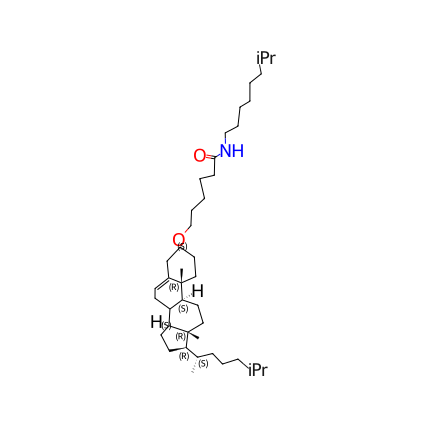 CC(C)CCCCCCNC(=O)CCCCCO[C@H]1CC[C@@]2(C)C(=CCC3[C@@H]4CC[C@H]([C@@H](C)CCCC(C)C)[C@@]4(C)CC[C@@H]32)C1